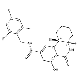 O=C(NCc1c(F)cc(F)cc1F)C1=CN2C(=C(O)C1)C(=O)N[C@H]1CCCC[C@H]12